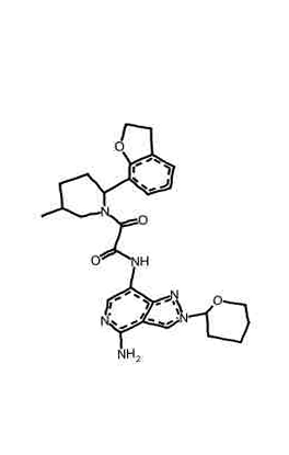 CC1CCC(c2cccc3c2OCC3)N(C(=O)C(=O)Nc2cnc(N)c3cn(C4CCCCO4)nc23)C1